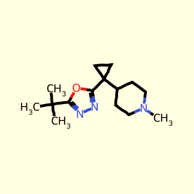 CN1CCC(C2(c3nnc(C(C)(C)C)o3)CC2)CC1